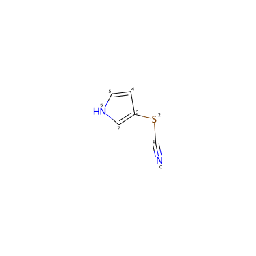 N#CSc1cc[nH]c1